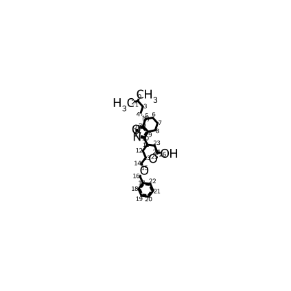 CC(C)CC[C@@H]1CCCc2c(C(CCCOCc3ccccc3)CC(=O)O)noc21